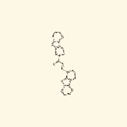 O=C(/N=C/c1cccc2c1oc1ccccc12)c1ccc2c(c1)oc1ccccc12